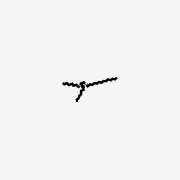 CCCCCCCCCCCCCCn1cc[n+](CCCCCCCC)c1CCCCCCC